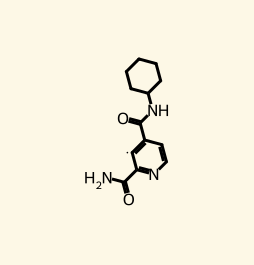 NC(=O)c1[c]c(C(=O)NC2CCCCC2)ccn1